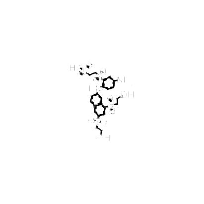 Nc1ccc(Nc2ccc3cc(S(=O)(=O)CCO)cc(S(=O)(=O)CCO)c3c2)c(S(=O)(=O)CCS(=O)(=O)O)c1